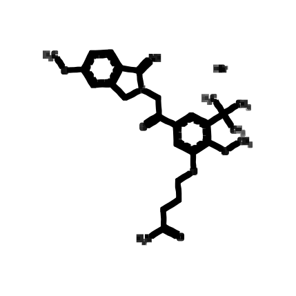 Br.COc1ccc2c(c1)CN(CC(=O)c1cc(OCCCC(N)=O)c(OC)c(C(C)(C)C)c1)C2=N